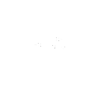 O=C1NC(=O)C2(CCNCC2)N1CCCc1ccc(F)cc1